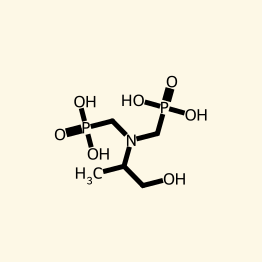 CC(CO)N(CP(=O)(O)O)CP(=O)(O)O